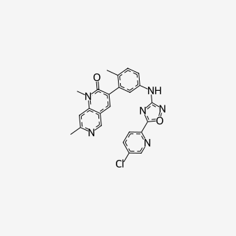 Cc1cc2c(cn1)cc(-c1cc(Nc3noc(-c4ccc(Cl)cn4)n3)ccc1C)c(=O)n2C